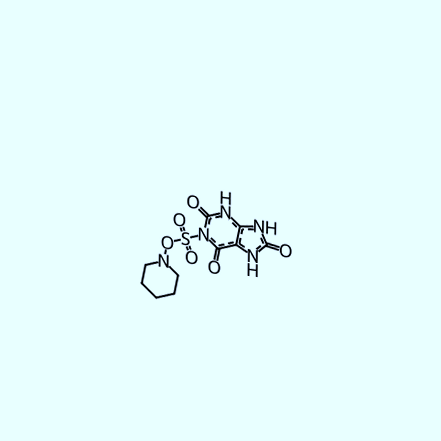 O=c1[nH]c2[nH]c(=O)n(S(=O)(=O)ON3CCCCC3)c(=O)c2[nH]1